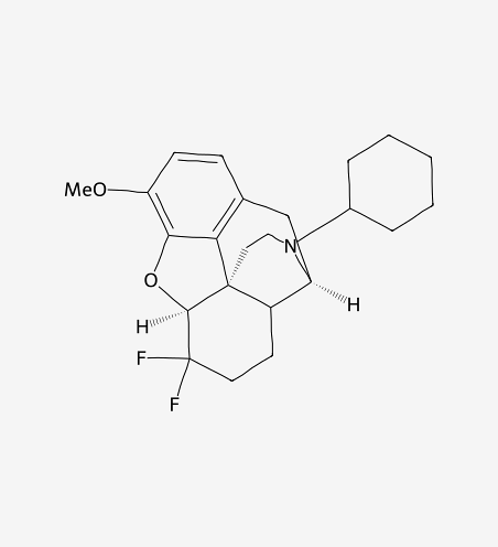 COc1ccc2c3c1O[C@@H]1C(F)(F)CCC4[C@H](C2)N(C2CCCCC2)CC[C@]341